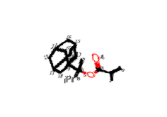 C=C(C)C(=O)OC(C)(C(C)C)C12CC3CC(CC(C3)C1)C2